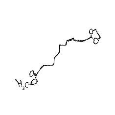 COC(=O)CCCCCCC/C=C\CC1OCCO1